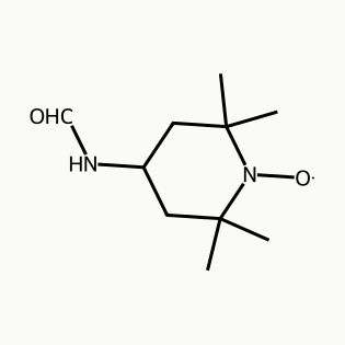 CC1(C)CC(NC=O)CC(C)(C)N1[O]